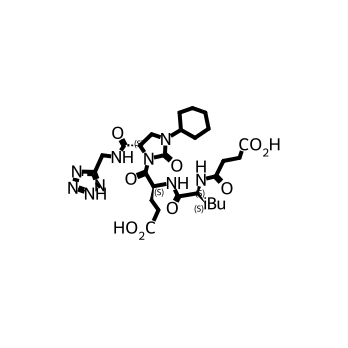 CC[C@H](C)[C@H](NC(=O)CCC(=O)O)C(=O)N[C@@H](CCC(=O)O)C(=O)N1C(=O)N(C2CCCCC2)C[C@H]1C(=O)NCc1nn[nH]n1